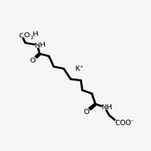 O=C([O-])CNC(=O)CCCCCCCC(=O)NCC(=O)O.[K+]